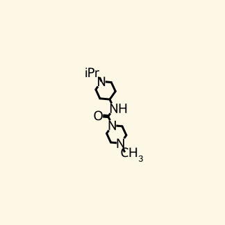 CC(C)N1CCC(NC(=O)N2CCN(C)CC2)CC1